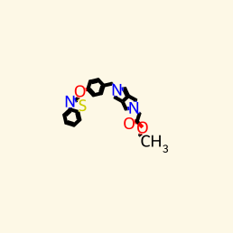 CCOC(=O)CN1CC2=CN(Cc3ccc(Oc4nc5ccccc5s4)cc3)CC2C1